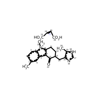 Cc1ccc2c(c1)c1c(n2C)CCC(Cc2nc[nH]c2C)C1=O.O=C(O)/C=C\C(=O)O